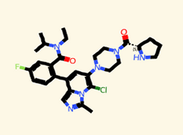 CCN(C(=O)c1cc(F)ccc1-c1cc(N2CCN(C(=O)[C@@H]3CCCN3)CC2)c(Cl)n2c(C)ncc12)C(C)C